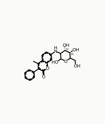 Cc1c(-c2ccccc2)c(=O)oc2cc(NC3C(O)OC(CO)[C@H](O)[C@H]3O)ccc12